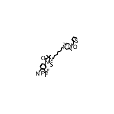 C[C@@H]1CN(C(=O)c2cccs2)[C@@H](C)CN1CCCCCCN1C(=S)N(c2ccc(C#N)c(C(F)(F)F)c2)C(=O)C1(C)C